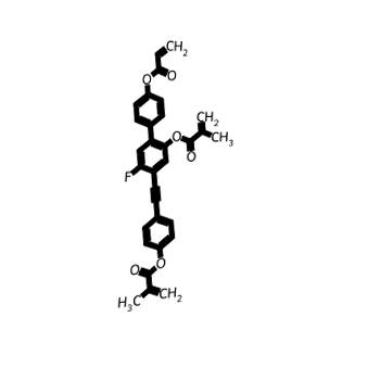 C=CC(=O)Oc1ccc(-c2cc(F)c(C#Cc3ccc(OC(=O)C(=C)C)cc3)cc2OC(=O)C(=C)C)cc1